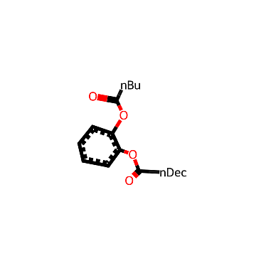 CCCCCCCCCCC(=O)Oc1ccccc1OC(=O)CCCC